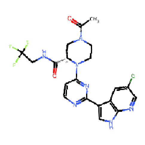 CC(=O)N1CCN(c2ccnc(-c3c[nH]c4ncc(Cl)cc34)n2)[C@H](C(=O)NCC(F)(F)F)C1